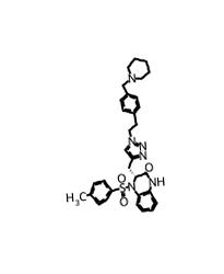 Cc1ccc(S(=O)(=O)N2c3ccccc3NC(=O)[C@H]2Cc2cn(CCc3ccc(CN4CCCCC4)cc3)nn2)cc1